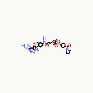 Cc1cc(NC(=O)/C=C/CC2(C)OB(C3=CC[C@H](C(=O)N4CCCC4)CC3)OC2(C)C)ccc1-c1c(Br)c2c(N)ncnc2n1C